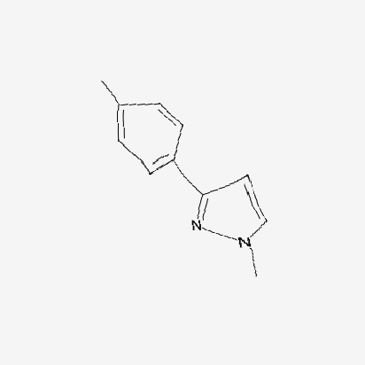 Cc1ccc(-c2ccn(C)n2)cc1